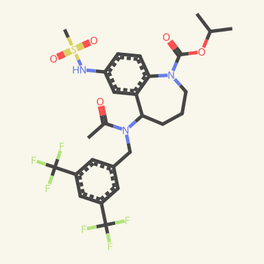 CC(=O)N(Cc1cc(C(F)(F)F)cc(C(F)(F)F)c1)C1CCCN(C(=O)OC(C)C)c2ccc(NS(C)(=O)=O)cc21